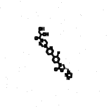 O=C(C(O)CO)N1CCN(c2ccc(-c3ccc(N4C[C@H](Cn5ccnn5)OC4=O)cc3F)cn2)C=N1